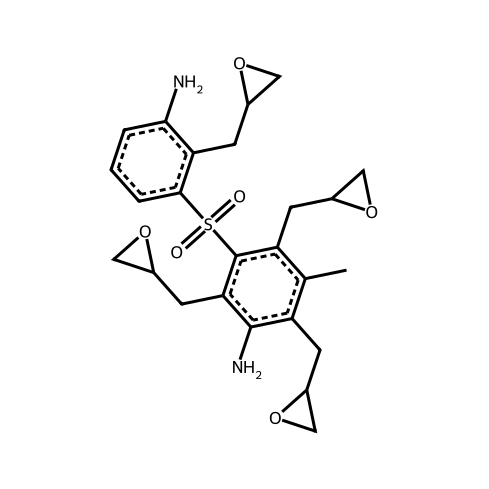 Cc1c(CC2CO2)c(N)c(CC2CO2)c(S(=O)(=O)c2cccc(N)c2CC2CO2)c1CC1CO1